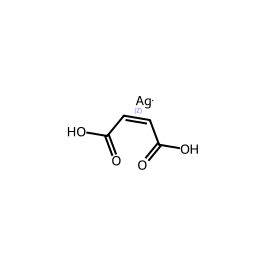 O=C(O)/C=C\C(=O)O.[Ag]